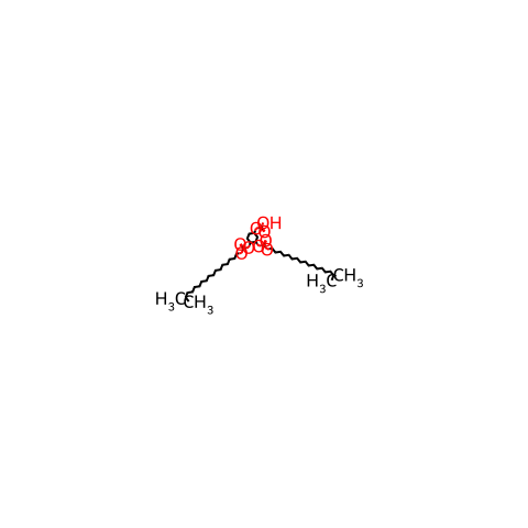 CC(C)CCCCCCCCCCCCCCCOC(=O)OC1CCC(OC(=O)O)CC1OC(=O)OCCCCCCCCCCCCCCCC(C)C